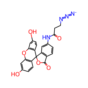 [N-]=[N+]=NCCC(=O)Nc1ccc2c(c1)C1(OC2=O)c2ccc(O)cc2Oc2cc(O)ccc21